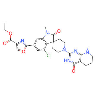 CCOC(=O)c1coc(-c2cc(Cl)c3c(c2)N(C)C(=O)C32CCN(c3nc4c(c(=O)[nH]3)CCCN4C)CC2)n1